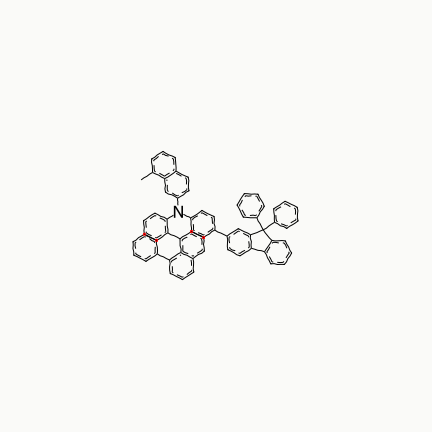 Cc1cccc2ccc(N(c3ccc(-c4ccc5c(c4)C(c4ccccc4)(c4ccccc4)c4ccccc4-5)cc3)c3ccccc3-c3cccc4cccc(-c5ccccc5)c34)cc12